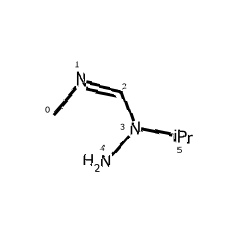 C/N=C\N(N)C(C)C